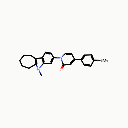 CSc1ccc(-c2ccn(-c3ccc4c5c(n(C)c4c3)CCCCC5)c(=O)c2)cc1